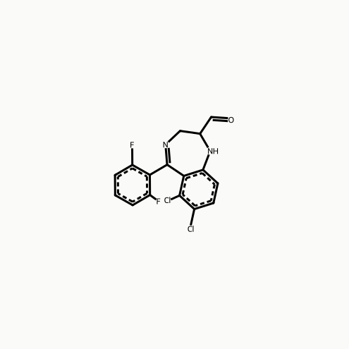 O=CC1CN=C(c2c(F)cccc2F)c2c(ccc(Cl)c2Cl)N1